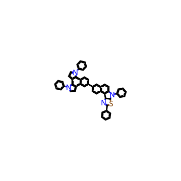 c1ccc(C2=NC3c4c(ccc5cc(-c6ccc7c(c6)c6ccn(-c8ccccc8)c6c6ccn(-c8ccccc8)c76)ccc45)N(c4ccccc4)C3S2)cc1